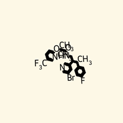 CC(c1ccc(F)cc1)C(CNC(=O)C(C)(C)Oc1ccc(C(F)(F)F)cn1)c1cncc(Br)c1